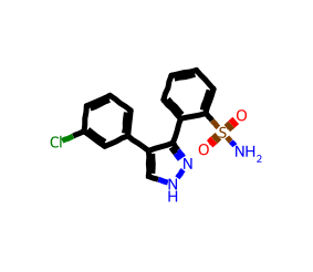 NS(=O)(=O)c1ccccc1-c1n[nH]cc1-c1cccc(Cl)c1